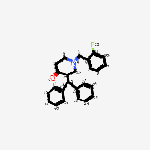 O=C1CCN(Cc2ccccc2F)CC1C(c1ccccc1)c1ccccc1